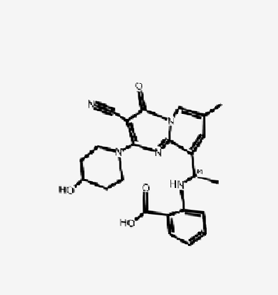 Cc1cc([C@@H](C)Nc2ccccc2C(=O)O)c2nc(N3CCC(O)CC3)c(C#N)c(=O)n2c1